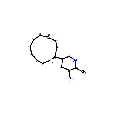 CC1CC(C2CCCCCCCCCC2)CNC1C